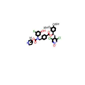 COc1ccc([C@H](Cc2c(Cl)c[n+]([O-])cc2Cl)OC(=O)c2ccc(CN(C(=O)O[C@H]3CN4CCC3CC4)c3cc(O)cc(F)c3)cc2)cc1OC